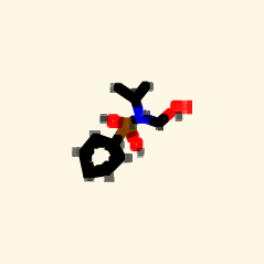 CC(C)N(CO)S(=O)(=O)c1ccccc1